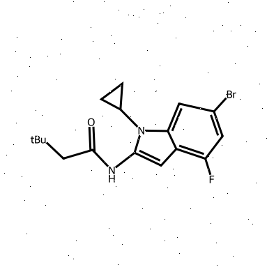 CC(C)(C)CC(=O)Nc1cc2c(F)cc(Br)cc2n1C1CC1